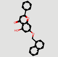 O=c1cc(-c2ccccc2)oc2cc(OCc3cccc4ccccc34)cc(O)c12